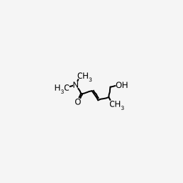 CC(/C=C/C(=O)N(C)C)CO